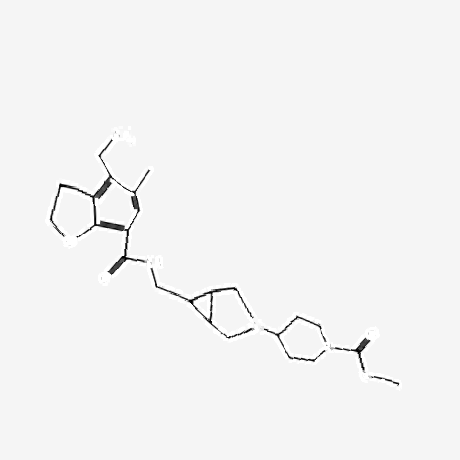 COC(=O)N1CCC(N2CC3C(CNC(=O)c4cc(C)c(CN)c5c4OCC5)C3C2)CC1